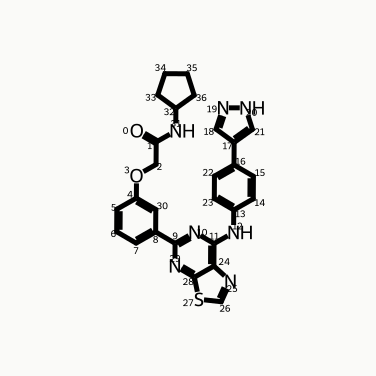 O=C(COc1cccc(-c2nc(Nc3ccc(-c4cn[nH]c4)cc3)c3ncsc3n2)c1)NC1CCCC1